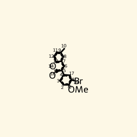 COc1ccc(-c2cc3cc(C)ccc3oc2=O)cc1Br